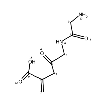 C=C(CC(=O)CNC(=O)CN)C(=O)O